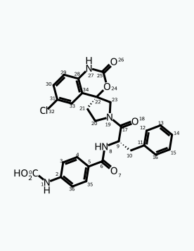 O=C(O)Nc1ccc(C(=O)N[C@@H](Cc2ccccc2)C(=O)N2CC[C@@]3(C2)OC(=O)Nc2ccc(Cl)cc23)cc1